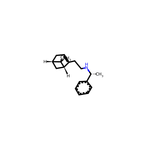 C[C@@H](NCCC1=CC[C@H]2C[C@@H]1C2(C)C)c1ccccc1